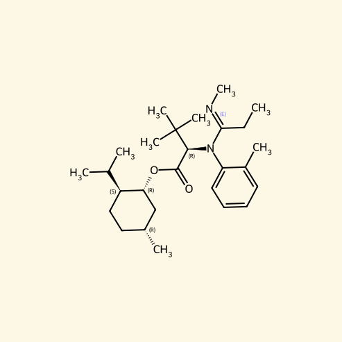 CC/C(=N\C)N(c1ccccc1C)[C@@H](C(=O)O[C@@H]1C[C@H](C)CC[C@H]1C(C)C)C(C)(C)C